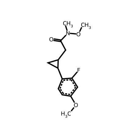 COc1ccc(C2CC2CC(=O)N(C)OC)c(F)c1